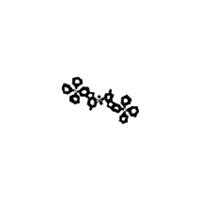 Cc1cc2c(c([Si](C)(C)c3cc(C)cc4c3Cc3ccc([Si](c5ccccc5)(c5ccccc5)c5ccccc5)cc3-4)c1)Cc1ccc([Si](c3ccccc3)(c3ccccc3)c3ccccc3)cc1-2